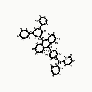 c1ccc(-c2cc(-c3ccccc3)cc(-c3c4ccccc4c(-c4ccc(N(c5ccccc5)c5ccccn5)cc4)c4ccccc34)c2)cc1